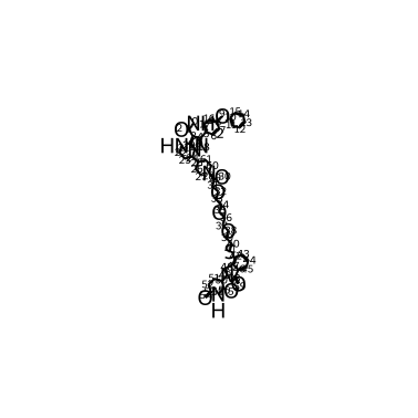 NC(=O)c1c(-c2ccc(Oc3ccccc3)cc2)nn2c1NCCC2C1CCN(C(=O)COCCOCCOCCSc2cccc3c2CN(C2CCC(=O)NC2=O)C3=O)CC1